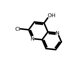 Oc1cc(Cl)nc2cccnc12